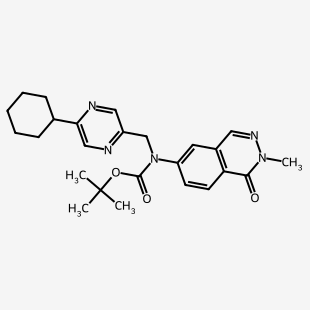 Cn1ncc2cc(N(Cc3cnc(C4CCCCC4)cn3)C(=O)OC(C)(C)C)ccc2c1=O